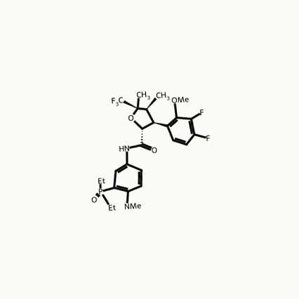 CCP(=O)(CC)c1cc(NC(=O)[C@@H]2O[C@@](C)(C(F)(F)F)[C@@H](C)[C@H]2c2ccc(F)c(F)c2OC)ccc1NC